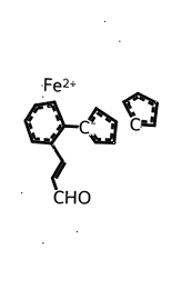 O=CC=Cc1ccccc1-[c-]1cccc1.[Fe+2].c1cc[cH-]c1